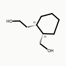 OCC[C@@H]1CCCC[C@@H]1CO